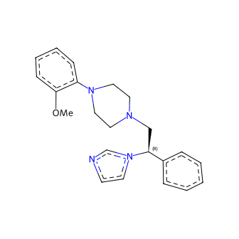 COc1ccccc1N1CCN(C[C@@H](c2ccccc2)n2ccnc2)CC1